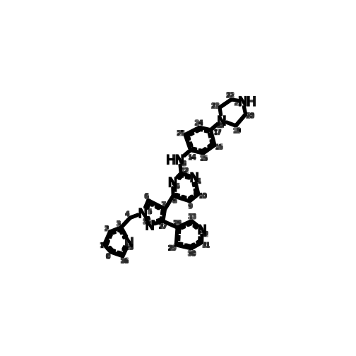 c1ccc(Cn2cc(-c3ccnc(Nc4ccc(N5CCNCC5)cc4)n3)c(-c3cccnc3)n2)nc1